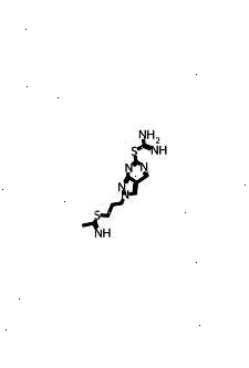 CC(=N)SCCCn1cc2cnc(SC(=N)N)nc2n1